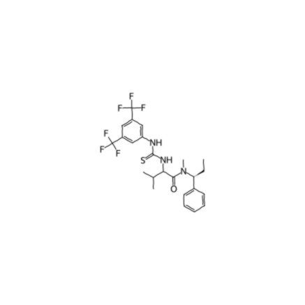 CC[C@@H](c1ccccc1)N(C)C(=O)C(NC(=S)Nc1cc(C(F)(F)F)cc(C(F)(F)F)c1)C(C)C